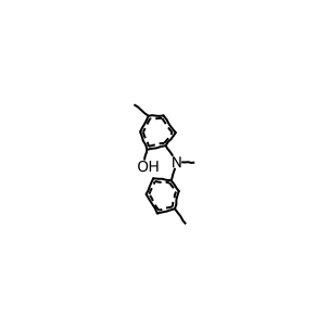 Cc1cccc(N(C)c2ccc(C)cc2O)c1